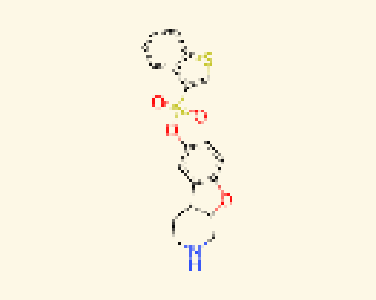 O=S(=O)(Oc1ccc2c(c1)C1CCNCC1O2)c1csc2ccccc12